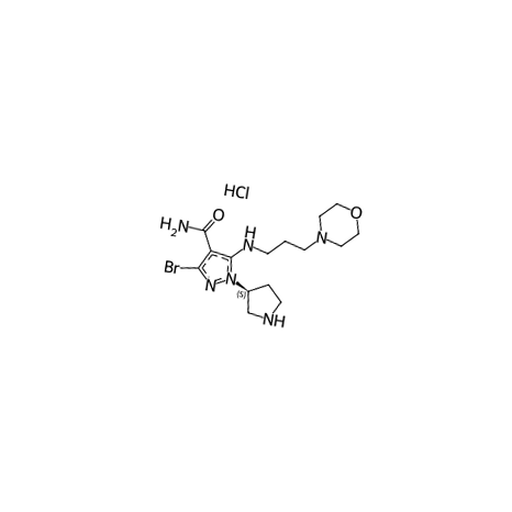 Cl.NC(=O)c1c(Br)nn([C@H]2CCNC2)c1NCCCN1CCOCC1